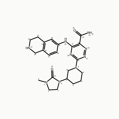 CN1CCN(C2CCCN(c3nnc(C(N)=O)c(Nc4ccc5c(c4)CCNC5)n3)C2)C1=O